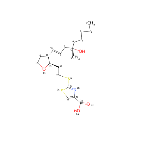 CCCCC[C@](C)(O)C/C=C/[C@H]1CCO[C@@H]1CCSc1nc(C(=O)O)cs1